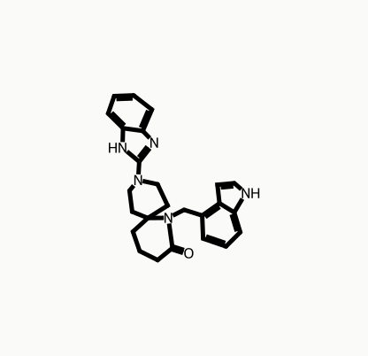 O=C1CCCC2(CCN(c3nc4ccccc4[nH]3)CC2)N1Cc1cccc2[nH]ccc12